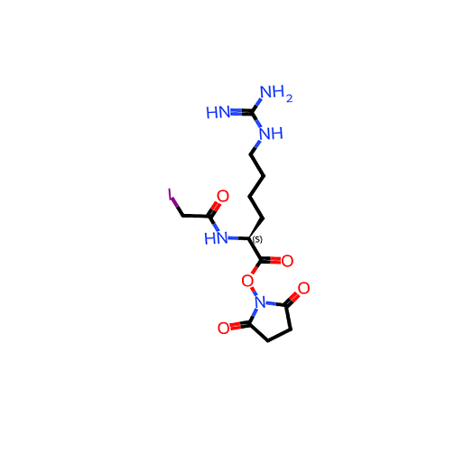 N=C(N)NCCCC[C@H](NC(=O)CI)C(=O)ON1C(=O)CCC1=O